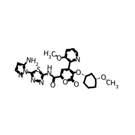 COc1cccnc1-c1cc(C(=O)Nc2nnc(-n3nccc3N)s2)oc(=O)c1O[C@H]1CCC[C@@H](OC)C1